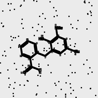 CNc1cc(C(C)(C)C)cc(Cc2ccccc2C(=O)Cl)c1O